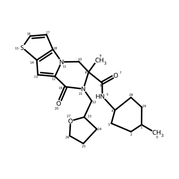 CC1CCC(NC(=O)C2(C)Cn3c(cc4sccc43)C(=O)N2CC2CCCO2)CC1